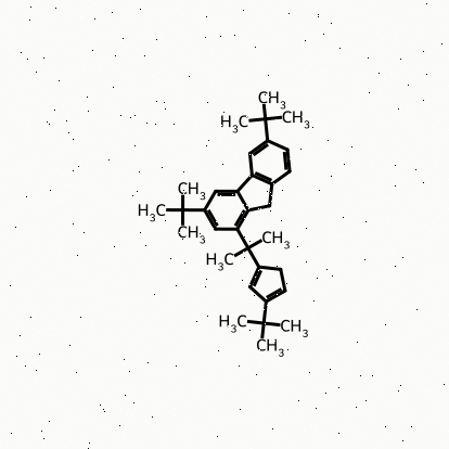 CC(C)(C)C1=CCC(C(C)(C)c2cc(C(C)(C)C)cc3c2Cc2ccc(C(C)(C)C)cc2-3)=C1